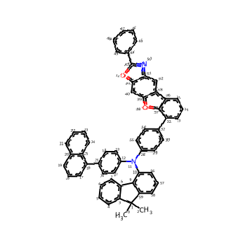 CC1(C)c2ccccc2-c2c(N(c3ccc(-c4cccc5ccccc45)cc3)c3ccc(-c4cccc5c4oc4cc6oc(-c7ccccc7)nc6cc45)cc3)cccc21